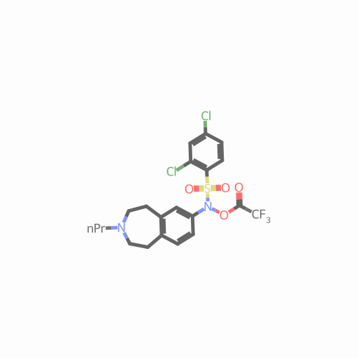 CCCN1CCc2ccc(N(OC(=O)C(F)(F)F)S(=O)(=O)c3ccc(Cl)cc3Cl)cc2CC1